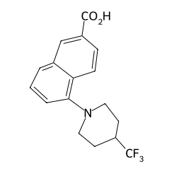 O=C(O)c1ccc2c(N3CCC(C(F)(F)F)CC3)cccc2c1